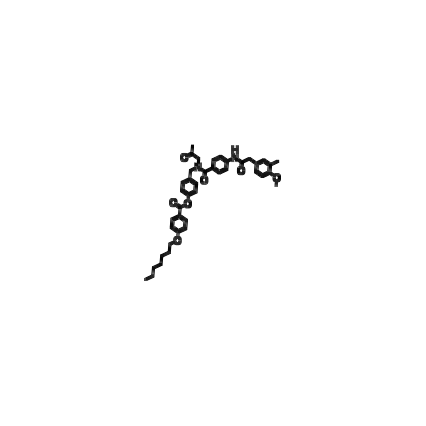 CCCCCCCOc1ccc(C(=O)Oc2ccc(CN(CC(C)=O)C(=O)c3ccc(NC(=O)Cc4ccc(OC)c(C)c4)cc3)cc2)cc1